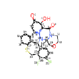 O=C1c2c(O)c(=O)ccn2N([C@H]2c3ccccc3SCc3c2ccc(F)c3F)[C@@H]2COCCN12